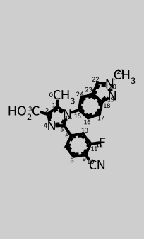 Cc1c(C(=O)O)nc(-c2ccc(C#N)c(F)c2)n1-c1ccc2nn(C)cc2c1